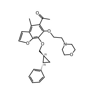 CC(=O)c1c(OCCN2CCOCC2)c(OC[C@H]2C[C@@H]2c2ccccc2)c2occc2c1C